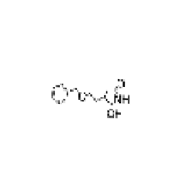 O=C1[CH][C](CCOCc2ccccc2)C(O)N1